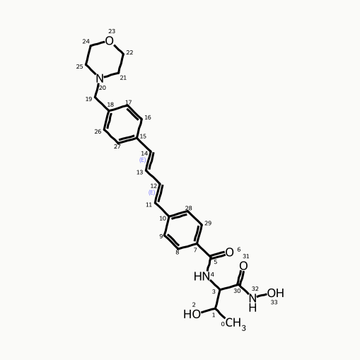 CC(O)C(NC(=O)c1ccc(/C=C/C=C/c2ccc(CN3CCOCC3)cc2)cc1)C(=O)NO